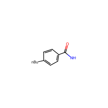 CCCCc1ccc(C([NH])=O)cc1